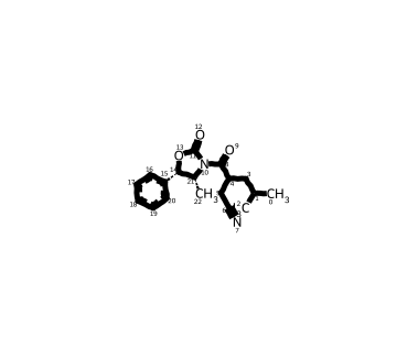 CC(C)CC(CC#N)C(=O)N1C(=O)O[C@@H](c2ccccc2)[C@H]1C